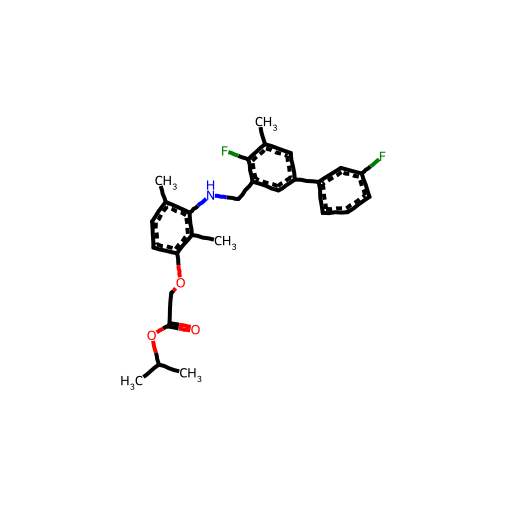 Cc1cc(-c2cccc(F)c2)cc(CNc2c(C)ccc(OCC(=O)OC(C)C)c2C)c1F